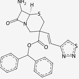 NC1C(=O)N2CC(C=Cc3csnn3)(C(=O)OC(c3ccccc3)c3ccccc3)CS[C@H]12